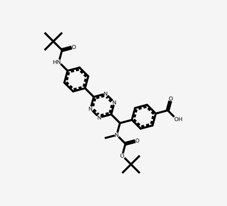 CN(C(=O)OC(C)(C)C)C(c1ccc(C(=O)O)cc1)c1nnc(-c2ccc(NC(=O)C(C)(C)C)cc2)nn1